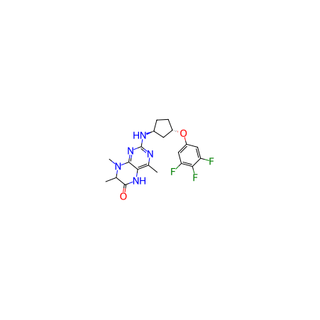 Cc1nc(N[C@H]2CC[C@H](Oc3cc(F)c(F)c(F)c3)C2)nc2c1NC(=O)C(C)N2C